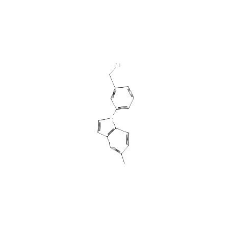 NCc1cccc(-n2ccc3cc(Cl)ccc32)c1